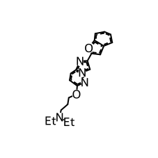 CCN(CC)CCCOc1ccc2nc(-c3cc4ccccc4o3)cn2n1